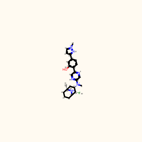 CN(c1cnc(-c2ccc(-c3ccn(C)n3)cc2O)cn1)[C@H]1C[C@@H]2CCCC(N2)[C@H]1F